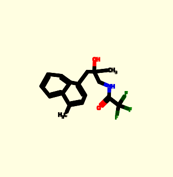 Cc1ccc(CC(C)(O)CNC(=O)C(F)(F)F)c2ccccc12